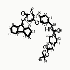 CN(C(=O)OCC1c2ccccc2-c2ccccc21)[C@H](Cc1ccc(CNC(=O)N2CCN(CC(=O)OC(C)(C)C)CC2)cc1)C(=O)O